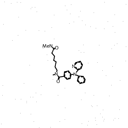 CNC(=O)CCCCCCN(C)C(=O)c1ccc(N(c2ccccc2)c2ccccn2)cc1